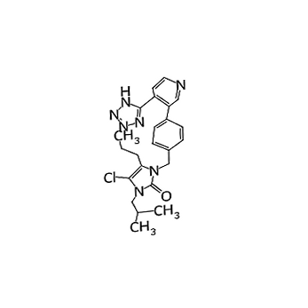 CCCc1c(Cl)n(CC(C)C)c(=O)n1Cc1ccc(-c2cnccc2-c2nnn[nH]2)cc1